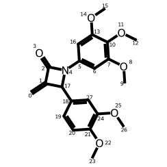 C=C1C(=O)N(c2cc(OC)c(OC)c(OC)c2)C1c1ccc(OC)c(OC)c1